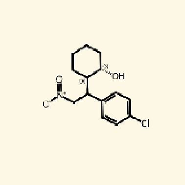 O=[N+]([O-])CC(c1ccc(Cl)cc1)[C@H]1CCCC[C@@H]1O